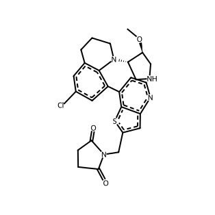 CO[C@H]1CNC[C@@H]1N1CCCc2cc(Cl)cc(-c3ccnc4cc(CN5C(=O)CCC5=O)sc34)c21